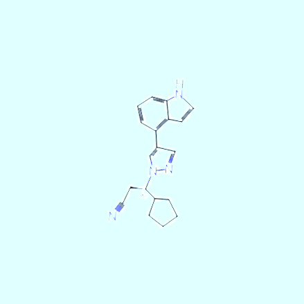 N#CC[C@H](C1CCCC1)n1cc(-c2cccc3[nH]ccc23)cn1